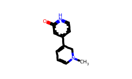 CN1C=CC=C(c2cc[nH]c(=O)c2)C1